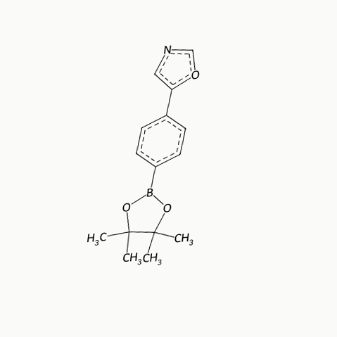 CC1(C)OB(c2ccc(-c3cnco3)cc2)OC1(C)C